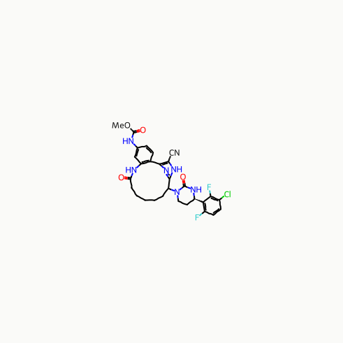 COC(=O)Nc1ccc2c(c1)NC(=O)CCCCCC(N1CC[C@H](c3c(F)ccc(Cl)c3F)NC1=O)c1nc-2c(C#N)[nH]1